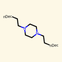 CCCCCCCCCCCCN1CCN(CCCCCCCCCCCC)CC1